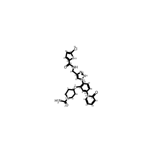 NC(=O)N1CCC(Oc2cc(-n3ccccc3=O)ccc2-n2cc(CNC(=O)c3ccc(Cl)s3)nn2)CC1